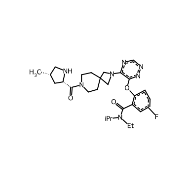 CCN(C(=O)c1cc(F)ccc1Oc1nncnc1N1CC2(CCN(C(=O)[C@@H]3C[C@H](C)CN3)CC2)C1)C(C)C